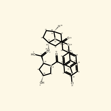 O=C(O)[C@@H]1C[C@@H](O)CN1C(=O)c1cc(Cl)cnc1NCC(=O)N1[C@@H]2CC[C@H]1CC(Oc1ccc(F)cc1)C2